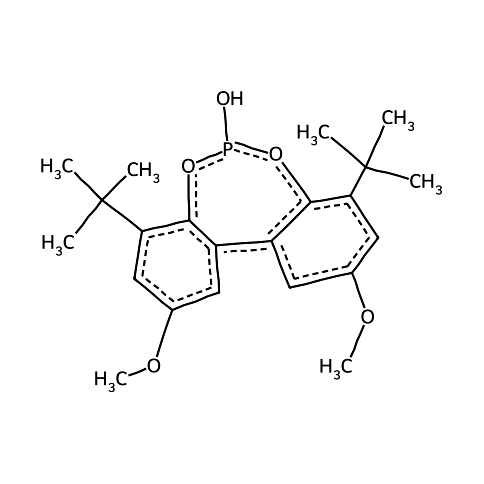 COc1cc(C(C)(C)C)c2op(O)oc3c(C(C)(C)C)cc(OC)cc3c2c1